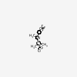 Cc1cc(N2CC(C)N(C(=O)CCl)C(C)C2)nn1-c1ccc(OC(F)(F)F)cc1